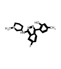 Cc1ccc(-c2nnc(N[C@@H]3CCCN(C)C3)c3cc(F)ccc23)c(O)c1